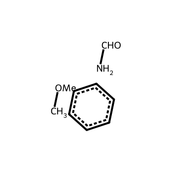 COC.NC=O.c1ccccc1